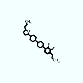 CCCc1ccc(C2CCC(C3CCC(C4CCC(CCC)O4)CC3)CC2)c(F)c1F